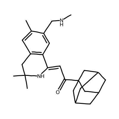 CNCc1cc2c(cc1C)CC(C)(C)NC2=CC(=O)C12CC3CC(CC(C3)C1)C2